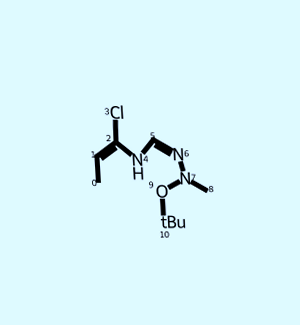 C/C=C(/Cl)N/C=N\N(C)OC(C)(C)C